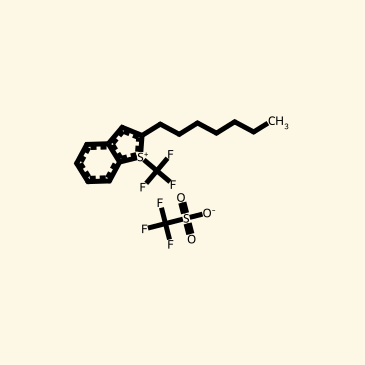 CCCCCCCc1cc2ccccc2[s+]1C(F)(F)F.O=S(=O)([O-])C(F)(F)F